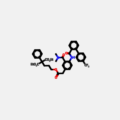 CCOC(=O)C(CCCOC(=O)Cc1ccc(NC(=O)c2ccccc2-c2ccc(C(F)(F)F)cc2)c(C(=O)N(C)C)c1)(C(=O)OCC)c1ccccc1